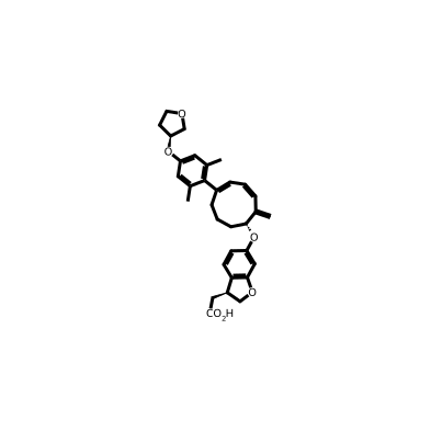 C=C1/C=C\C=C(\c2c(C)cc(O[C@H]3CCOC3)cc2C)CCC[C@H]1Oc1ccc2c(c1)OC[C@H]2CC(=O)O